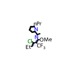 CC/C=C(Cl)/C(=C(\N=C(/C)c1cccc(CCC)n1)OC)C(F)(F)F